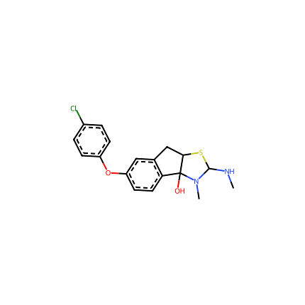 CNC1SC2Cc3cc(Oc4ccc(Cl)cc4)ccc3C2(O)N1C